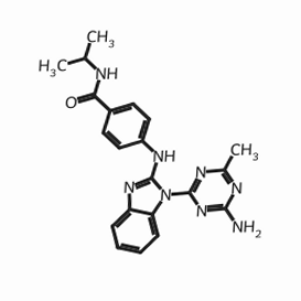 Cc1nc(N)nc(-n2c(Nc3ccc(C(=O)NC(C)C)cc3)nc3ccccc32)n1